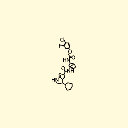 O=C(COc1ccc(Cl)c(F)c1)NC1CC(NC(=O)C2CC3C(NCCC3C3CCCCCC3)S2)C2CC1C2